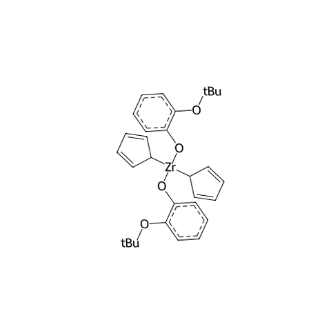 CC(C)(C)Oc1ccccc1[O][Zr]([O]c1ccccc1OC(C)(C)C)([CH]1C=CC=C1)[CH]1C=CC=C1